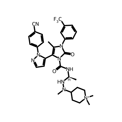 Cc1c(-c2ccnn2-c2ccc(C#N)cc2)n(C(=O)N[C@@H](C)NN(C)C2CC[N+](C)(C)CC2)c(=O)n1-c1cccc(C(F)(F)F)c1